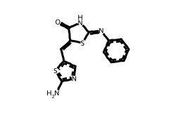 Nc1ncc(/C=C2\S/C(=N\c3ccccc3)NC2=O)s1